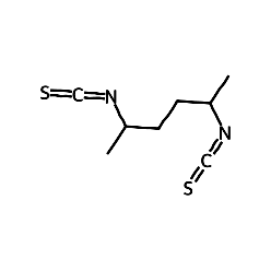 CC(CCC(C)N=C=S)N=C=S